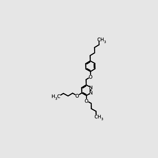 CCCCCc1ccc(OCc2cc(OCCCC)c(OCCCC)nn2)cc1